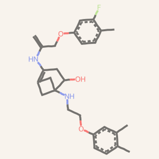 C=C(COc1ccc(C)c(F)c1)NC1=C2CC(NCCOc3ccc(C)c(C)c3)(C2)C(O)C1